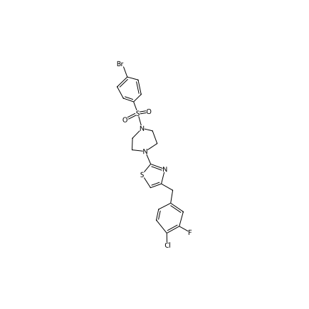 O=S(=O)(c1ccc(Br)cc1)N1CCN(c2nc(Cc3ccc(Cl)c(F)c3)cs2)CC1